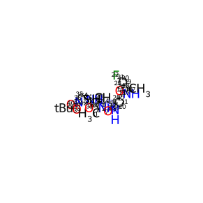 Cc1[nH]c(/C=C2\C(=O)Nc3ccc(C(=O)N[C@H](C)c4ccc(F)cc4)cc32)c(C)c1C(=O)N[SiH]1CCCN(C(=O)OC(C)(C)C)C1